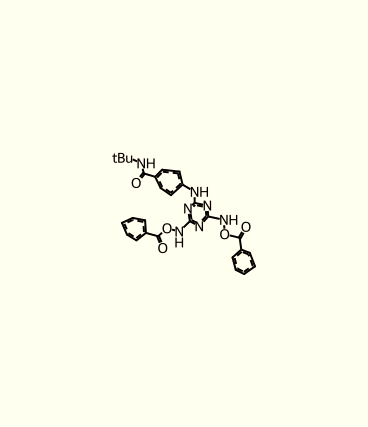 CC(C)(C)NC(=O)c1ccc(Nc2nc(NOC(=O)c3ccccc3)nc(NOC(=O)c3ccccc3)n2)cc1